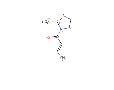 CC=CC(=O)N1CCC[C@H]1C(=O)O